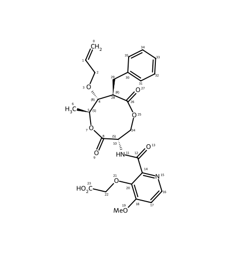 C=CCO[C@H]1[C@H](C)OC(=O)[C@@H](NC(=O)c2nccc(OC)c2OCC(=O)O)COC(=O)[C@@H]1Cc1ccccc1